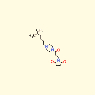 CC(C)CCCCN1CCN(C(=O)CCN2C(=O)C=CC2=O)CC1